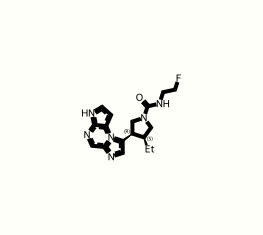 CC[C@@H]1CN(C(=O)NCCF)C[C@@H]1c1cnc2cnc3[nH]ccc3n12